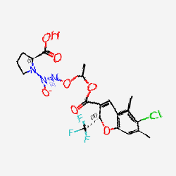 Cc1cc2c(c(C)c1Cl)C=C(C(=O)OC(C)O/N=[N+](\[O-])N1CCC[C@H]1C(=O)O)[C@@H](C(F)(F)F)O2